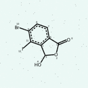 O=C1OC(O)c2c1ccc(Br)c2I